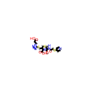 O=C(O)CCn1nnnc1SCC1=C(C(=O)O)N2C(=O)C(NC(=O)CSc3ccncc3)[C@H]2SC1